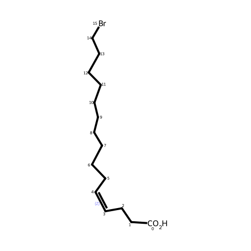 O=C(O)CC/C=C\CCCCCCCCCCBr